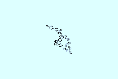 C[C@@H]1NC(=O)C(N(C)C(=O)CNC(=O)c2ccc(-c3ccc(Cl)cc3)cc2)c2ccc(O)c(c2)-c2cc(ccc2O)C[C@@H](C(=O)N[C@@H](C)C(=O)N2CCC2)NC1=O